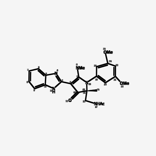 CNC1=C(c2nc3ccccc3[nH]2)C(=O)[C@@](C)(CNC(C)=O)N1c1cc(OC)cc(OC)c1